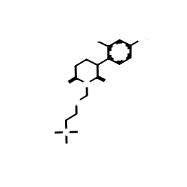 C[Si](C)(C)CCOCN1C(=O)CCC(c2ccc(C#N)cc2Cl)C1=O